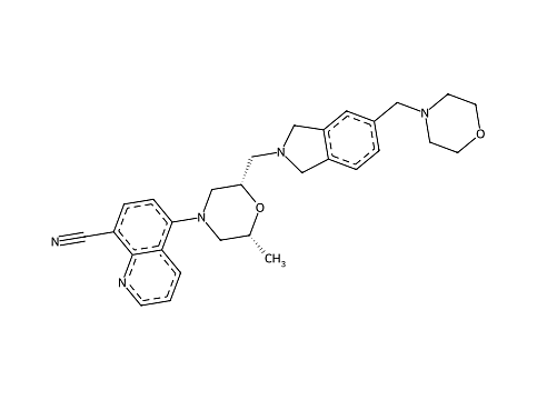 C[C@@H]1CN(c2ccc(C#N)c3ncccc23)C[C@H](CN2Cc3ccc(CN4CCOCC4)cc3C2)O1